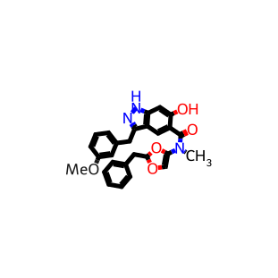 COc1cccc(Cc2n[nH]c3cc(O)c(C(=O)N(C)C4=COC(Cc5ccccc5)O4)cc23)c1